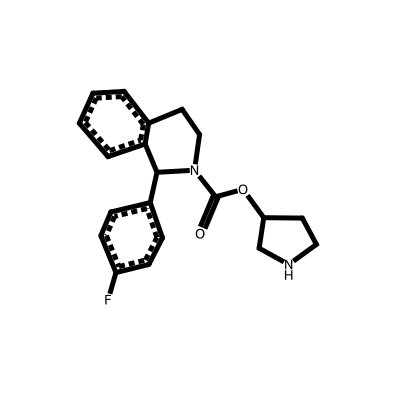 O=C(OC1CCNC1)N1CCc2ccccc2C1c1ccc(F)cc1